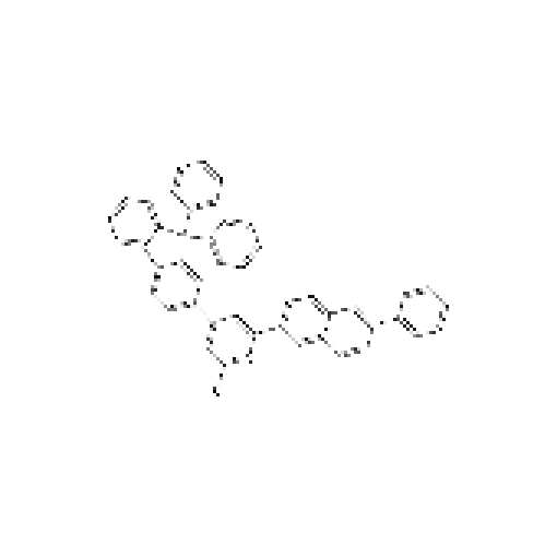 Clc1cc(-c2ccc3c(c2)C(c2ccccc2)(c2ccccc2)c2ccccc2-3)cc(-c2ccc3cc(-c4ccccc4)ccc3c2)n1